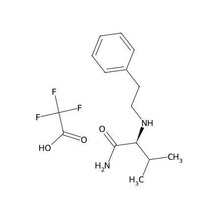 CC(C)[C@H](NCCc1ccccc1)C(N)=O.O=C(O)C(F)(F)F